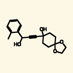 Cc1ccccc1C(O)C#CC1(O)CCC2(CC1)OCCO2